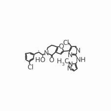 Cn1nccc1Nc1ncc(Cl)c(-c2cc3c(o2)CCN([C@@H](O)[CH]c2cccc(Cl)c2)C3=O)n1